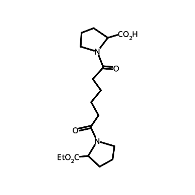 CCOC(=O)C1CCCN1C(=O)CCCCC(=O)N1CCCC1C(=O)O